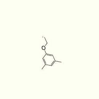 [CH2]COc1cc(C)cc(C)c1